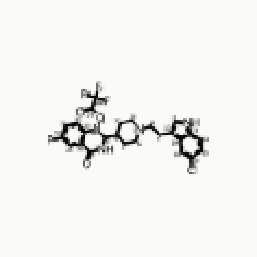 O=C1NC(C2CCN(CCc3c[nH]c4ccc(Cl)cc34)CC2)N(OC(=O)C(F)(F)F)c2ccc(F)cc21